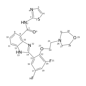 O=C(Nc1nccs1)c1cccc2[nH]c(-c3cc(F)cc(F)c3OCCN3CCOCC3)nc12